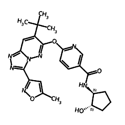 Cc1cc(-c2nnc3cc(C(C)(C)C)c(Oc4ccc(C(=O)N[C@H]5CCC[C@@H]5O)cn4)nn23)no1